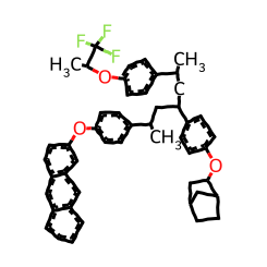 CC(CC(CC(C)c1ccc(OC(C)C(F)(F)F)cc1)c1ccc(OC2CC3CCC2C3)cc1)c1ccc(Oc2ccc3cc4ccccc4cc3c2)cc1